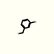 [S]Cc1cccc(Br)c1